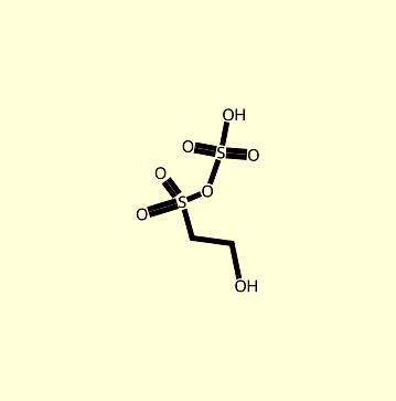 O=S(=O)(O)OS(=O)(=O)CCO